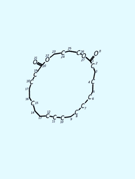 O=C1CCCCCCCCCCCCCCCCCCC(=O)OCCCCO1